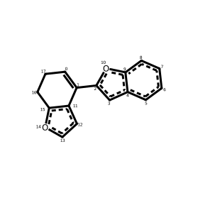 C1=C(c2cc3ccccc3o2)c2ccoc2CC1